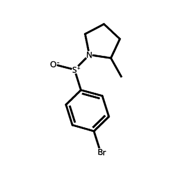 CC1CCCN1[S+]([O-])c1ccc(Br)cc1